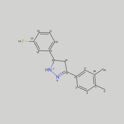 Cc1ccc(C2=NNC(c3cccc(F)c3)C2)cc1C